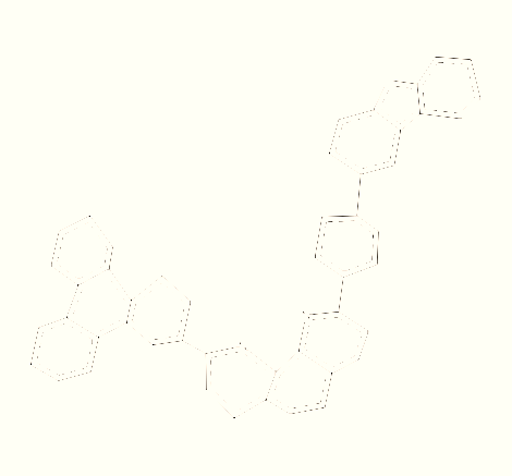 c1ccc2c(c1)sc1ccc(-c3ccc(-c4ccc5ccc6ccc(-c7ccc8c9ccccc9c9ccccc9c8c7)nc6c5n4)cc3)cc12